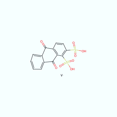 O=C1c2ccccc2C(=O)c2c1ccc(S(=O)(=O)O)c2S(=O)(=O)O.[V]